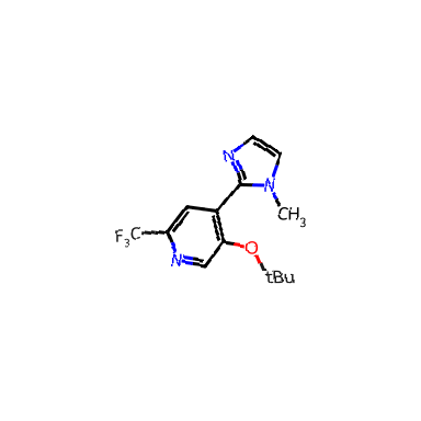 Cn1ccnc1-c1cc(C(F)(F)F)ncc1OC(C)(C)C